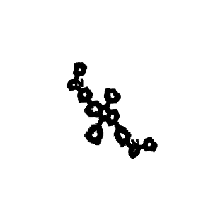 c1ccc(-c2cccc(-c3ccc(-c4ccc5c(-c6ccccc6)c6cc(-c7ccc(-c8cccc(-c9ccccc9)n8)cc7)ccc6c(-c6ccccc6)c5c4)cc3)n2)cc1